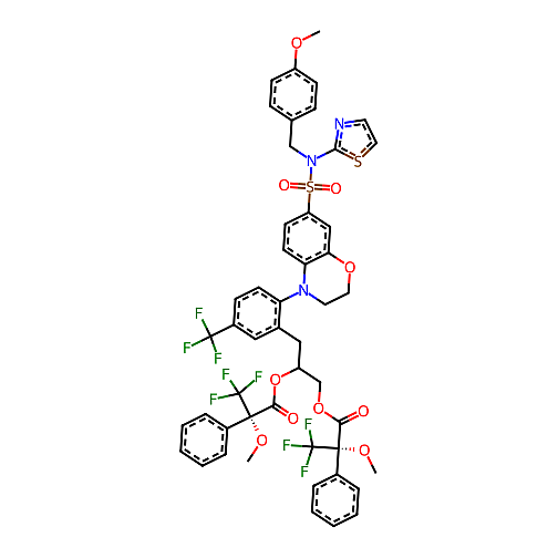 COc1ccc(CN(c2nccs2)S(=O)(=O)c2ccc3c(c2)OCCN3c2ccc(C(F)(F)F)cc2CC(COC(=O)[C@@](OC)(c2ccccc2)C(F)(F)F)OC(=O)[C@@](OC)(c2ccccc2)C(F)(F)F)cc1